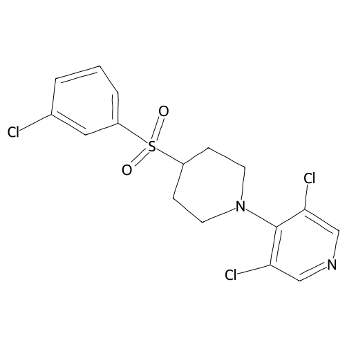 O=S(=O)(c1cccc(Cl)c1)C1CCN(c2c(Cl)cncc2Cl)CC1